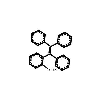 CCCCCCc1ccccc1C(=C(c1ccccc1)c1ccccc1)c1ccccc1